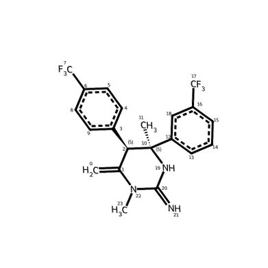 C=C1[C@@H](c2ccc(C(F)(F)F)cc2)[C@@](C)(c2cccc(C(F)(F)F)c2)NC(=N)N1C